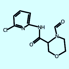 O=CN1CCOCC1C(=O)Nc1cccc(Cl)n1